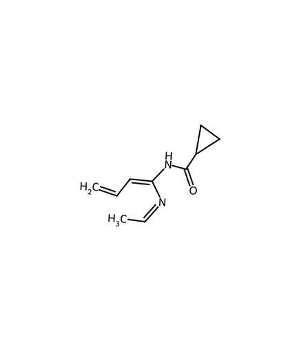 C=C/C=C(\N=C/C)NC(=O)C1CC1